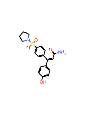 NC(=O)C=C(c1ccc(O)cc1)c1ccc(S(=O)(=O)N2CCCC2)cc1